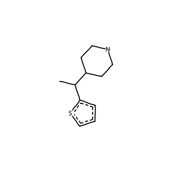 CC(c1cccs1)C1CC[N]CC1